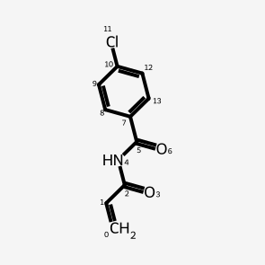 C=CC(=O)NC(=O)c1ccc(Cl)cc1